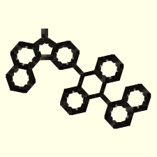 c1ccc2c(c1)C(c1ccc3[nH]c4ccc5ccccc5c4c3c1)c1ccccc1C2c1cccc2ccccc12